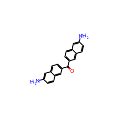 Nc1ccc2cc(C(=O)c3ccc4cc(N)ccc4c3)ccc2c1